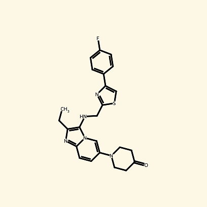 CCc1nc2ccc(N3CCC(=O)CC3)cn2c1NCc1nc(-c2ccc(F)cc2)cs1